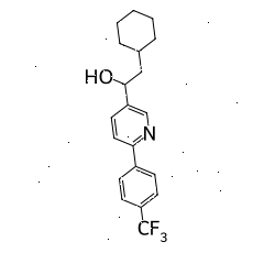 OC(CC1CCCCC1)c1ccc(-c2ccc(C(F)(F)F)cc2)nc1